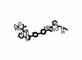 CCNCC(=O)N1CCC[C@H]1c1ncc(-c2ccc(-c3ccc(-c4cnc([C@@H]5CCCN5C(=O)[C@@H](NC(=O)OC)C(C)C)[nH]4)cc3)cc2)[nH]1